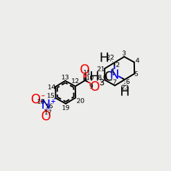 CN1[C@@H]2CCC[C@H]1C[C@H](OC(=O)c1ccc([N+](=O)[O-])cc1)C2